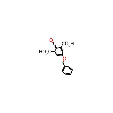 O=C=C1C(C(=O)O)=CC(OCc2ccccc2)=CC1C(=O)O